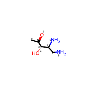 CC(=O)[C@@H](O)C(N)CN